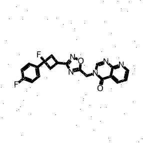 O=c1c2cccnc2ncn1Cc1nc(C2CC(F)(c3ccc(F)cc3)C2)no1